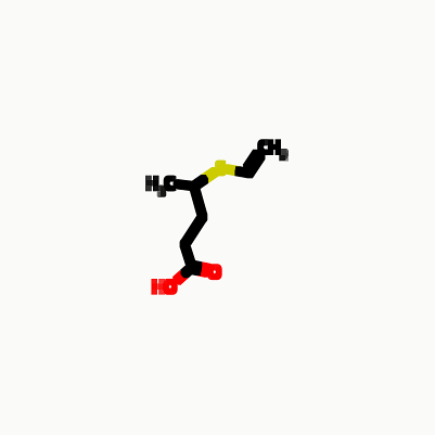 C=CSC(C)CCC(=O)O